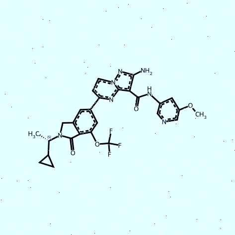 COc1cncc(NC(=O)c2c(N)nn3ccc(-c4cc5c(c(OC(F)(F)F)c4)C(=O)N([C@@H](C)C4CC4)C5)nc23)c1